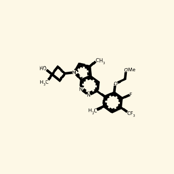 COCOc1c(F)c(C(F)(F)F)cc(C)c1-c1cc2c(C)cn(C3CC(C)(O)C3)c2nn1